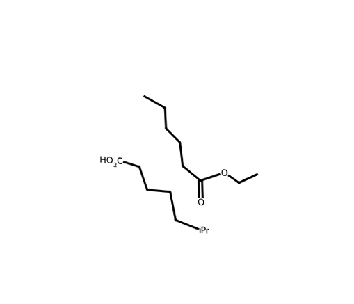 CC(C)CCCCC(=O)O.CCCCCC(=O)OCC